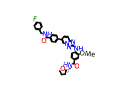 COc1cc(C(=O)NC[C@@H]2CCCO2)ccc1Nc1nc2ccc(-c3ccc(C(=O)NCc4ccc(F)cc4)cc3)cn2n1